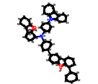 c1ccc(-c2cccc3c2oc2ccc(-c4ccc(N(c5ccc(-n6c7ccccc7c7ccccc76)cc5)c5cccc6c5oc5ccccc56)cc4)cc23)cc1